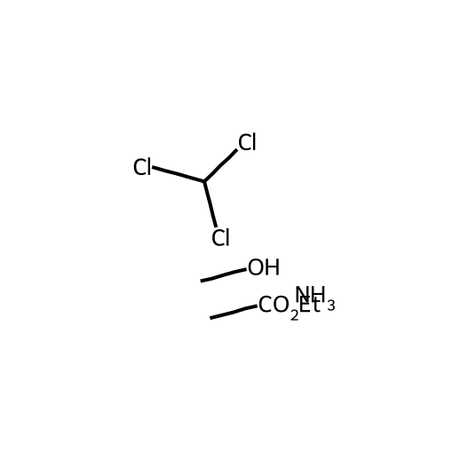 CCOC(C)=O.CO.ClC(Cl)Cl.N